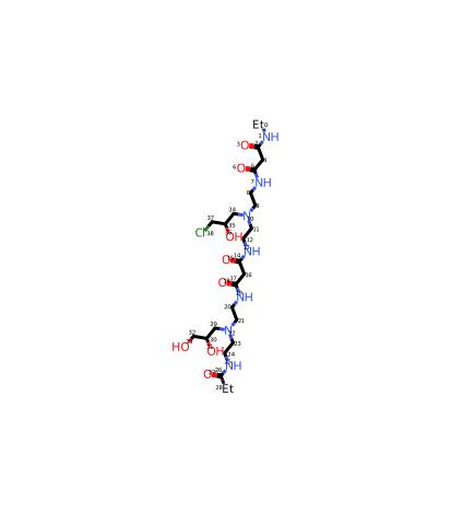 CCNC(=O)CC(=O)NCCN(CCNC(=O)CC(=O)NCCN(CCNC(=O)CC)CC(O)CO)CC(O)CCl